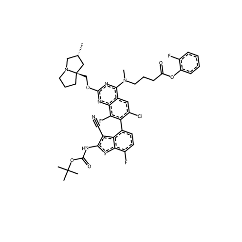 CN(CCCC(=O)Oc1ccccc1F)c1nc(OC[C@@]23CCCN2C[C@H](F)C3)nc2c(F)c(-c3ccc(F)c4sc(NC(=O)OC(C)(C)C)c(C#N)c34)c(Cl)cc12